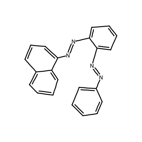 c1ccc(N=Nc2ccccc2N=Nc2cccc3ccccc23)cc1